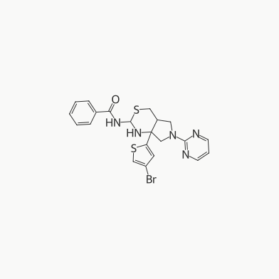 O=C(NC1NC2(c3cc(Br)cs3)CN(c3ncccn3)CC2CS1)c1ccccc1